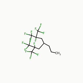 CCCC(CC(F)(C(F)(F)F)C(F)(F)F)CC(F)(C(F)(F)F)C(F)(F)F